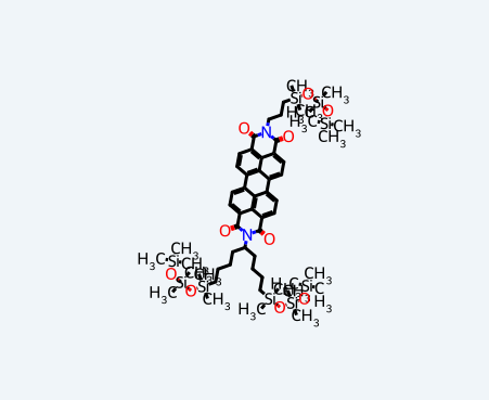 C[Si](C)(C)O[Si](C)(C)O[Si](C)(C)CCCCC(CCCC[Si](C)(C)O[Si](C)(C)O[Si](C)(C)C)N1C(=O)c2ccc3c4ccc5c6c(ccc(c7ccc(c2c37)C1=O)c64)C(=O)N(CCC[Si](C)(C)O[Si](C)(C)O[Si](C)(C)C)C5=O